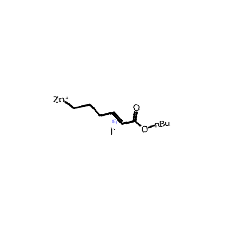 CCCCOC(=O)/C=C/CC[CH2][Zn+].[I-]